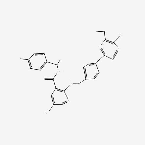 CC(NC(=O)c1cc(C#N)cnc1NCc1ccc(-c2cnc(N)c(CO)n2)cc1)c1ccc(F)cc1